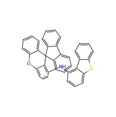 c1ccc2c(c1)Oc1cccc(Nc3cccc4sc5ccccc5c34)c1C21c2ccccc2-c2ccccc21